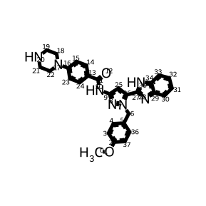 COc1ccc(Cn2nc(NC(=O)c3ccc(N4CCNCC4)cc3)cc2-c2nc3ccccc3[nH]2)cc1